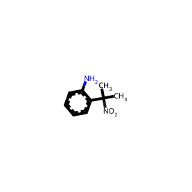 CC(C)(c1ccccc1N)[N+](=O)[O-]